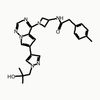 Cc1ccc(CC(=O)NC2CN(c3ncnn4cc(-c5cnn(CC(C)(C)O)c5)cc34)C2)cc1